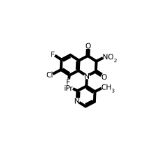 Cc1ccnc(C(C)C)c1N1C(=O)C([N+](=O)[O-])C(=O)c2cc(F)c(Cl)c(F)c21